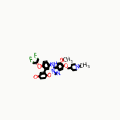 COc1cc2c(Nc3ccc(OC(CF)CF)c(C4=CC(=O)C=CC4=O)c3)ncnc2cc1OCC1CCN(C)CC1